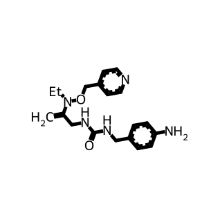 C=C(CNC(=O)NCc1ccc(N)cc1)N(CC)OCc1ccncc1